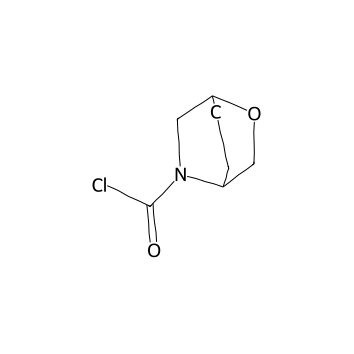 O=C(Cl)N1CC2CCC1CO2